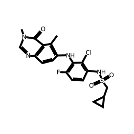 Cc1c(Nc2c(F)ccc(NS(=O)(=O)CC3CC3)c2Cl)ccc2ncn(C)c(=O)c12